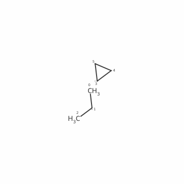 C[CH]C.[CH]1CC1